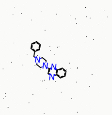 c1ccc(CN2CCN(c3cnc4ccccc4n3)CC2)cc1